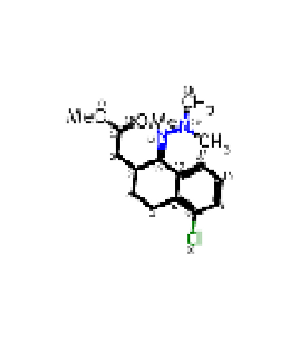 COC(CC1CCc2c(Cl)cccc2C1=NN(C)C)OC